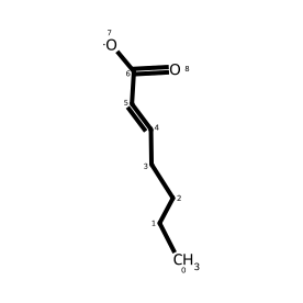 CCCCC=CC([O])=O